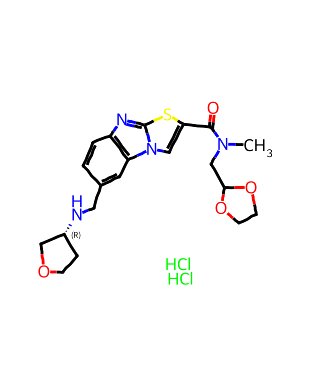 CN(CC1OCCO1)C(=O)c1cn2c(nc3ccc(CN[C@@H]4CCOC4)cc32)s1.Cl.Cl